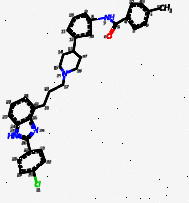 Cc1ccc(C(=O)Nc2cccc(C3CCN(CCCc4cccc5[nH]c(-c6ccc(Cl)cc6)nc45)CC3)c2)cc1